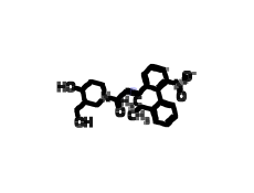 CC(C)c1ccccc1-c1c([N+](=O)[O-])[c]ccc1/C=C/C(=O)N1CCC(O)C(CO)C1